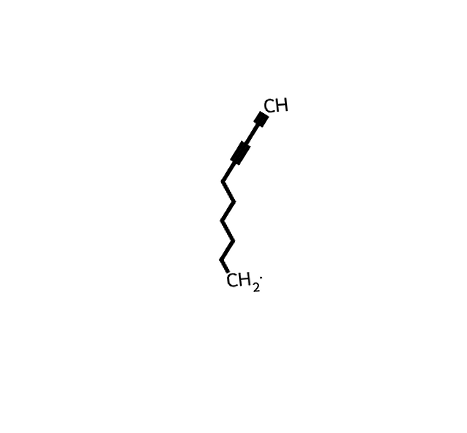 C#CC#CCCCCC[CH2]